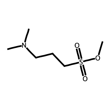 COS(=O)(=O)CCCN(C)C